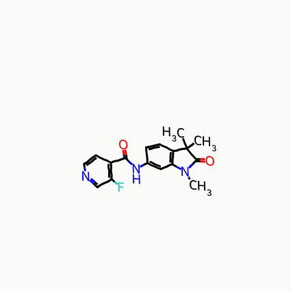 CN1C(=O)C(C)(C)c2ccc(NC(=O)c3ccncc3F)cc21